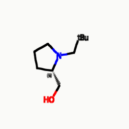 CC(C)(C)CN1CCC[C@H]1CO